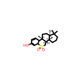 CC1(C)CCC[C@]2(C)[C@H]3CS(=O)(=O)C4C=C(O)C=CC4[C@]3(C)CC[C@@H]12